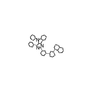 c1ccc(-c2nc(-c3cccc(-c4cccc(-c5cccc6ccccc56)c4)c3)nc3c4ccccc4n(-c4ccccc4)c23)cc1